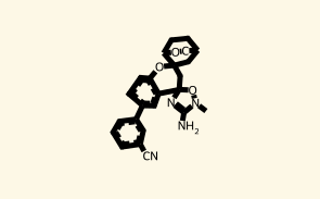 CN1OC2(CC3(CC4CCC3OC4)Oc3ccc(-c4cccc(C#N)c4)cc32)N=C1N